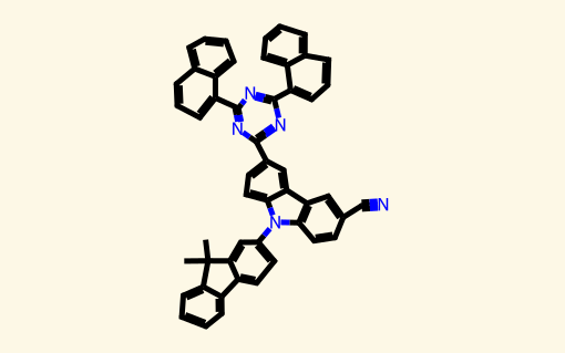 CC1(C)c2ccccc2-c2ccc(-n3c4ccc(C#N)cc4c4cc(-c5nc(-c6cccc7ccccc67)nc(-c6cccc7ccccc67)n5)ccc43)cc21